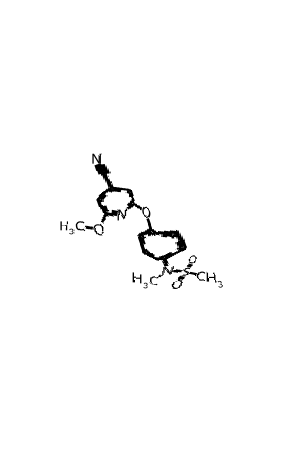 COc1cc(C#N)cc(Oc2ccc(N(C)S(C)(=O)=O)cc2)n1